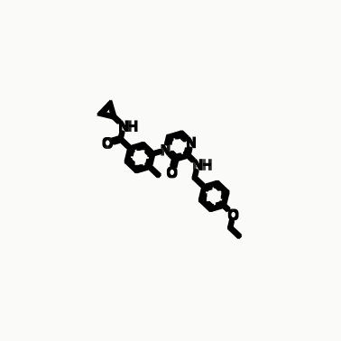 CCOc1ccc(CNc2nccn(-c3cc(C(=O)NC4CC4)ccc3C)c2=O)cc1